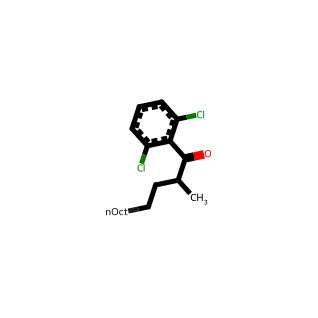 CCCCCCCCCCC(C)C(=O)c1c(Cl)cccc1Cl